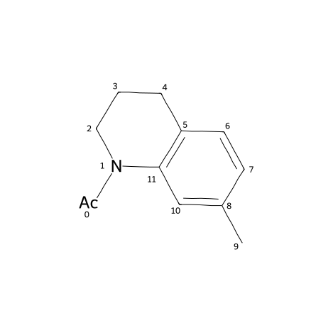 CC(=O)N1CCCc2ccc(C)cc21